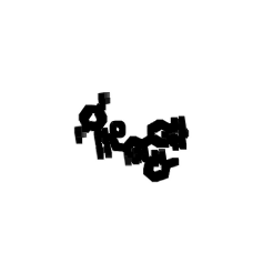 Cc1cccc(-n2nc(CC(=O)Nc3cc(F)ccc3F)cc2-c2ccc3ncnn3c2)n1